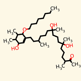 CCCCCCCCOC1C(CCC(C)CCCC(C)(O)CCCC(C)(O)CCCC(C)C(C)=O)=CC(O)C(C)C1C